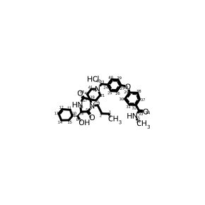 CCCCN1C(=O)[C@@H](C(O)[C@H]2CC=CCC2)NC(=O)C12CCN(Cc1ccc(Oc3ccc(C(=O)NC)cc3)cc1)CC2.Cl